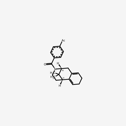 CC(=O)c1ccc(C(=O)N2CC[C@H]3C4=CCCC=C4C[C@@H]2C3(C)C)cc1